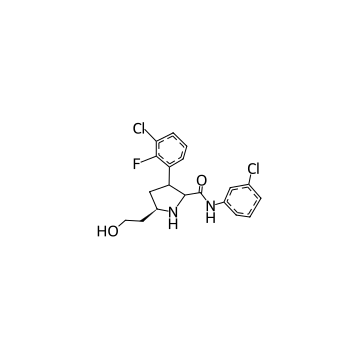 O=C(Nc1cccc(Cl)c1)C1N[C@@H](CCO)CC1c1cccc(Cl)c1F